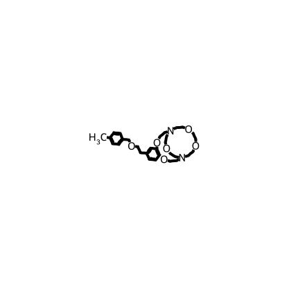 Cc1ccc(COCCc2ccc3c(c2)OCCN2CCOCCOCCN(CCOCC2)CCO3)cc1